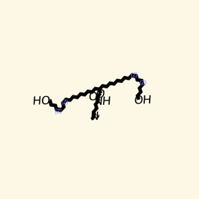 CN(C)CCCNC(=O)OC(CCCCCCCC/C=C\C/C=C\CCCO)CCCCCCCC/C=C\C/C=C\CCCO